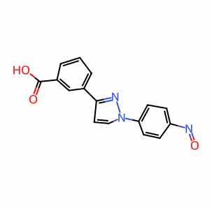 O=Nc1ccc(-n2ccc(-c3cccc(C(=O)O)c3)n2)cc1